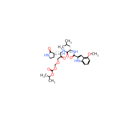 COc1cccc2[nH]c(C(=O)N[C@@H](CC(C)C)C(=O)N[C@@H](C[C@@H]3CCNC3=O)C(=O)COCOC(=O)OC(C)C)cc12